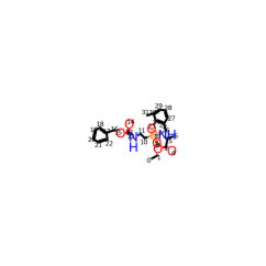 CCOC(=O)C(C)NP(=O)(CCNC(=O)OCc1ccccc1)Oc1c(C)cccc1C